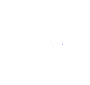 CNC(=S)NCc1ccc(O)c(OC)c1